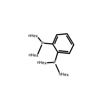 CCCCCCP(CCCCCC)c1ccccc1P(CCCCCC)CCCCCC